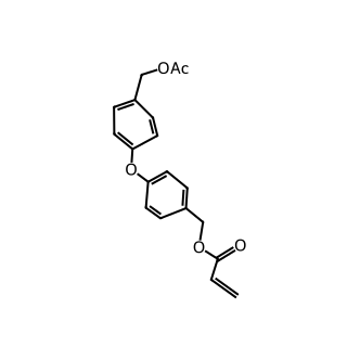 C=CC(=O)OCc1ccc(Oc2ccc(COC(C)=O)cc2)cc1